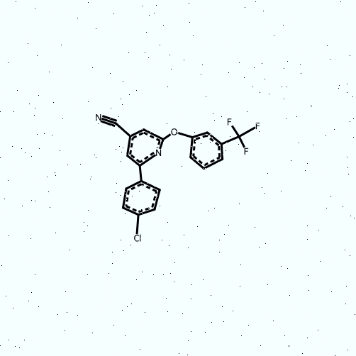 N#Cc1cc(Oc2cccc(C(F)(F)F)c2)nc(-c2ccc(Cl)cc2)c1